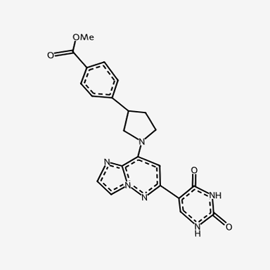 COC(=O)c1ccc(C2CCN(c3cc(-c4c[nH]c(=O)[nH]c4=O)nn4ccnc34)C2)cc1